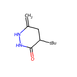 C=C1CC(C(C)(C)C)C(=O)NN1